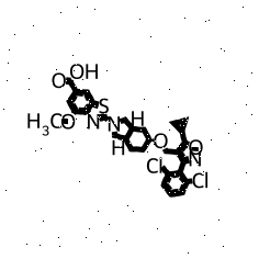 COc1cc(C(=O)O)cc2sc(N3C[C@H]4CC[C@H](OCc5c(-c6c(Cl)cccc6Cl)noc5C5CC5)C[C@H]4C3)nc12